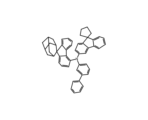 c1ccc(-c2cccc(N(c3ccc4c(c3)-c3ccccc3C43CCCC3)c3cccc4c3-c3ccccc3C43C4CC5CC(C4)CC3C5)c2)cc1